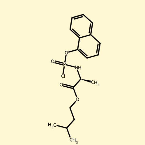 CC(C)CCOC(=O)[C@H](C)NP(=O)(Cl)Oc1cccc2ccccc12